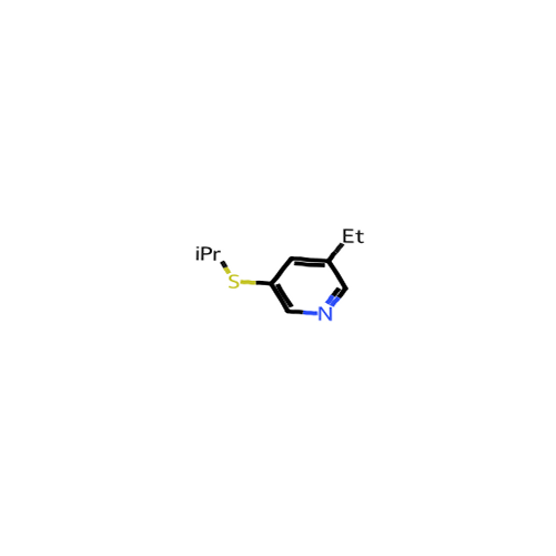 CCc1cncc(SC(C)C)c1